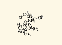 CC1CN(C(CC(N)=O)c2cc(Nc3cc(-c4cc(Cl)ccc4F)nnc3SCCO)ccn2)CC(C)N1